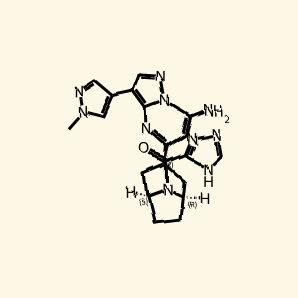 Cn1cc(-c2cnn3c(N)cc([C@H]4C[C@H]5CC[C@@H](C4)N5C(=O)c4nnc[nH]4)nc23)cn1